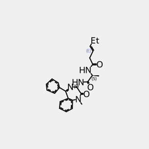 CC/C=C/CC(=O)N[C@@H](C)C(=O)N[C@H]1N=C(c2ccccc2)c2ccccc2N(C)C1=O